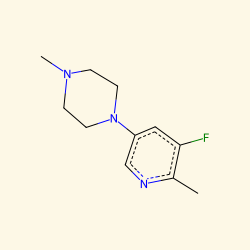 Cc1ncc(N2CCN(C)CC2)cc1F